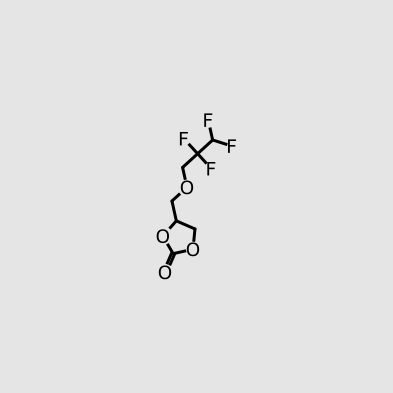 O=C1OCC(COCC(F)(F)C(F)F)O1